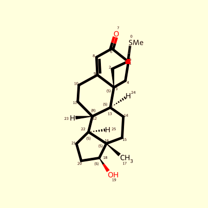 CSCC[C@]12CCC(=O)C=C1CC[C@@H]1[C@@H]2CC[C@]2(C)[C@@H](O)CC[C@@H]12